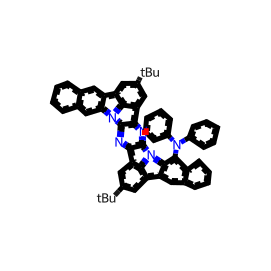 CC(C)(C)c1cc2c3cc4ccccc4cc3n3c4nc5c6cc(C(C)(C)C)cc7c8cc9ccccc9c(N(c9ccccc9)c9ccccc9)c8n(c5nc4c(c1)c23)c76